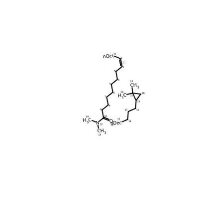 CCCCCCCC/C=C\CCCCCCCC(=O)N(C)C.CCCCCCCCCCCCCC1CC1(C)C